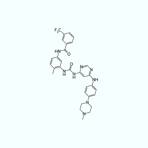 Cc1ccc(NC(=O)c2cccc(C(F)(F)F)c2)cc1NC(=O)Nc1cc(Nc2ccc(N3CCN(C)CC3)cc2)ncn1